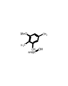 CCCCCCCO.COc1cc(C)cc(C)c1C